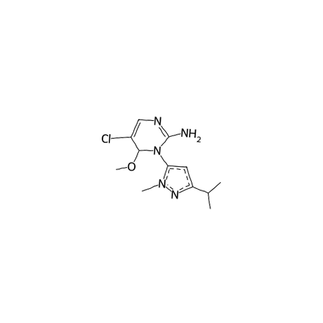 COC1C(Cl)=CN=C(N)N1c1cc(C(C)C)nn1C